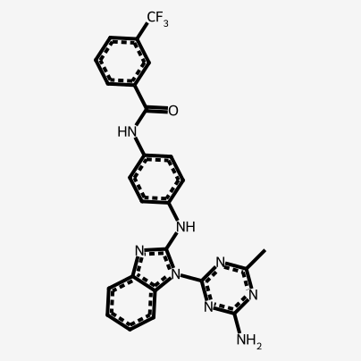 Cc1nc(N)nc(-n2c(Nc3ccc(NC(=O)c4cccc(C(F)(F)F)c4)cc3)nc3ccccc32)n1